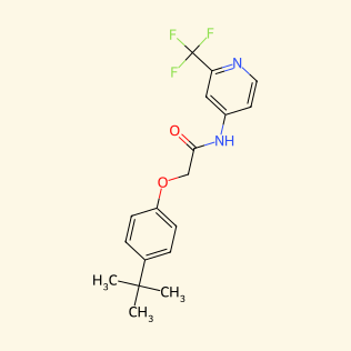 CC(C)(C)c1ccc(OCC(=O)Nc2ccnc(C(F)(F)F)c2)cc1